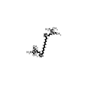 CCO[Si](CCCn1nnnc1CCCCCCCCCCCc1nnnn1CCC[Si](OCC)(OCC)OCC)(OCC)OCC